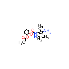 C=CC(=O)OC1CCCCC1OC(=O)NCC1(C)C(C)C(N)C1C